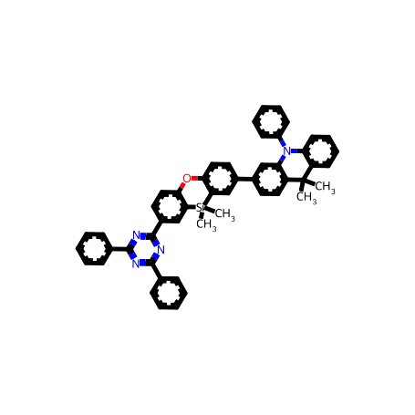 CC1(C)c2ccccc2N(c2ccccc2)c2cc(-c3ccc4c(c3)[Si](C)(C)c3cc(-c5nc(-c6ccccc6)nc(-c6ccccc6)n5)ccc3O4)ccc21